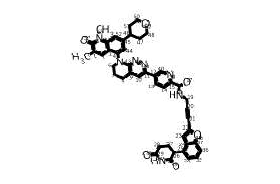 Cc1cc2c(N3CCCc4cc(-c5ccc(C(=O)NCC#Cc6cc7c(C8CCC(=O)NC8=O)cccc7o6)nc5)nnc43)cc(C3CCOCC3)cc2n(C)c1=O